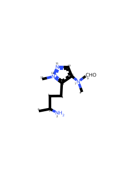 CC(N)CCc1c(N(C)C=O)cnn1C